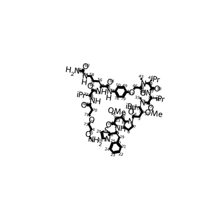 CC[C@H](C)[C@@H]([C@@H](CC(=O)N1CCC[C@H]1[C@H](OC)[C@@H](C)C(=O)N[C@@H](Cc1ccccc1)c1nccs1)OC)N(C)C(=O)[C@@H](NC(=O)[C@H](C(C)C)N(C)C(=O)COc1ccc(NC(=O)[C@H](CCCNC(N)=O)NC(=O)[C@@H](NC(=O)CCOCCON)C(C)C)cc1)C(C)C